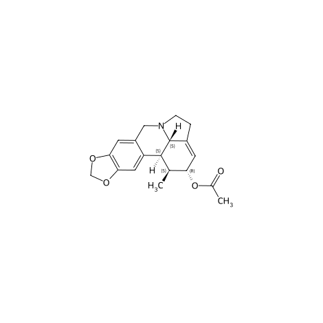 CC(=O)O[C@H]1C=C2CCN3Cc4cc5c(cc4[C@H]([C@@H]1C)[C@@H]23)OCO5